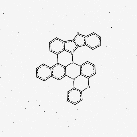 c1ccc2c(c1)Oc1cccc3c1N2c1cc2ccccc2c2c1B3n1c3c-2cccc3c2sc3ccccc3c21